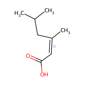 C/C(=C/C(=O)O)CC(C)C